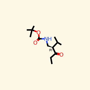 CCC(=O)[C@@H](CNC(=O)OC(C)(C)C)C(C)C